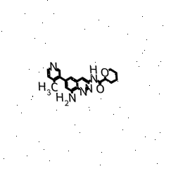 Cc1ccncc1-c1cc(N)c2nnc(NC(=O)C3CCCCO3)cc2c1